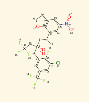 CC(CC(O)(Cc1cc(C(F)(F)F)cc(Cl)c1F)CC(F)(F)F)c1cc([N+](=O)[O-])cc2c1OCC2